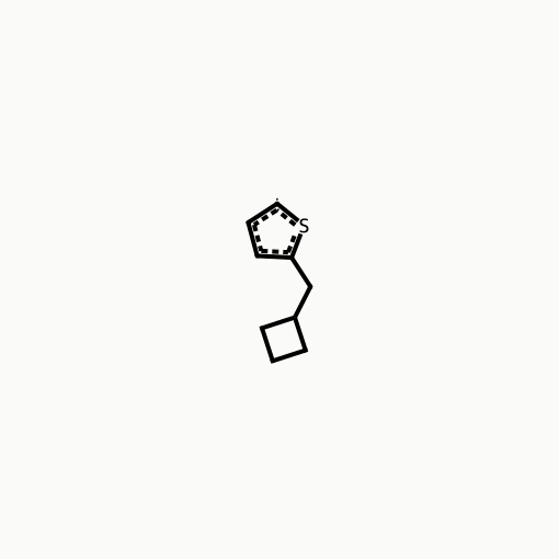 [c]1ccc(CC2CCC2)s1